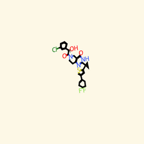 O=C([C@H](O)c1cccc(Cl)c1)N1CCc2nc(C3(c4cc(C5=CCC(F)(F)CC5)cs4)CC3)[nH]c(=O)c2C1